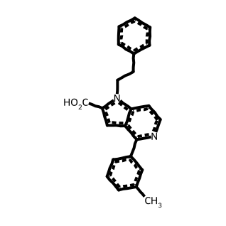 Cc1cccc(-c2nccc3c2cc(C(=O)O)n3CCc2ccccc2)c1